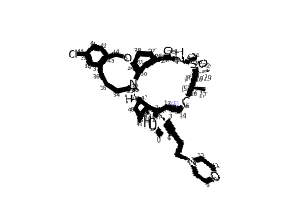 CO[C@]1(C#CCCN2CCOCC2)/C=C/C[C@H](C)[C@@H](C)S(=O)(=O)NC(=O)c2ccc3c(c2)N(CCCCc2cc(Cl)ccc2CO3)C[C@@H]2CC[C@H]21